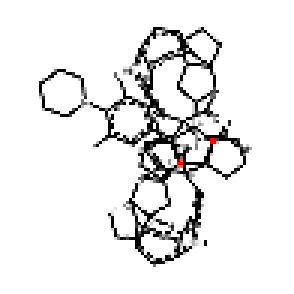 O=C(O)NC1(C2CCCC2)C(=O)N2C([C@H]3CC[C@@H](C4C[C@@H]5CCC[C@@]56c5ccc7[nH]c(nc7c5)[C@@](NC(=O)O)(C5CCCC5)C(=O)N46)N3c3cc(F)c(N4CCCCC4)c(F)c3)CC3CCCC32c2ccc3[nH]c1nc3c2